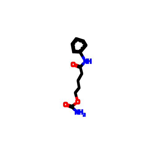 NC(=O)OCCCCC(=O)Nc1ccccc1